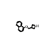 c1ccc2c(OCC3CNC3)cccc2c1